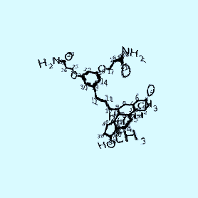 C[C@]12CCC(=O)CC1CC(CCCc1cc(OCCC(N)=O)cc(OCCC(N)=O)c1)[C@@H]1[C@H]2CC[C@]2(C)C(O)CC[C@@H]12